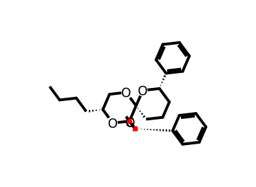 CCCC[C@@H]1CO[C@]2(CCC[C@@H](c3ccccc3)O2)[C@@]2(CCC[C@@H](c3ccccc3)O2)O1